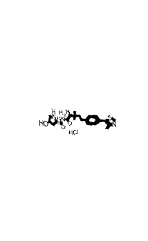 Cc1ncsc1-c1ccc(CCC(C)(C)[C@H](N)C(=O)NC(=O)[C@@H]2C[C@@H](O)CN2)cc1.Cl